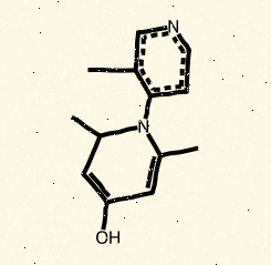 CC1=CC(O)=CC(C)N1c1ccncc1C